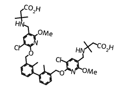 COc1nc(OCc2cccc(-c3cccc(COc4nc(OC)c(CNC(C)(C)CC(=O)O)cc4Cl)c3C)c2C)c(Cl)cc1CNC(C)(C)CC(=O)O